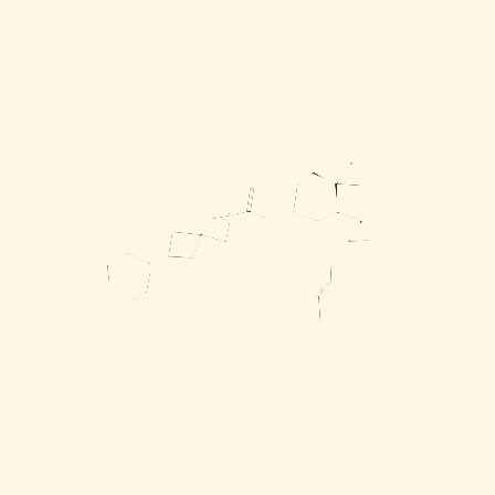 CO[C@@H]1[C@H](OC(=O)N2CC3(CC(N4CCOCC4)C3)C2)CC[C@]2(CO2)[C@H]1[C@@]1(C)O[C@@H]1CC=C(C)C